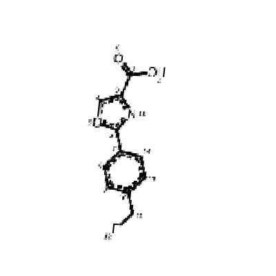 O=C(O)c1coc(-c2ccc(CF)cc2)n1